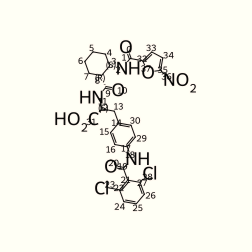 O=C(N[C@H]1CCCC[C@H]1C(=O)N[C@@H](Cc1ccc(NC(=O)c2c(Cl)cccc2Cl)cc1)C(=O)O)c1ccc([N+](=O)[O-])o1